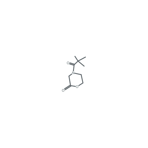 CC(C)(C)C(=O)N1CCOC(=O)C1